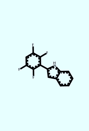 Fc1cc(F)c(F)c(-c2cc3ccccc3[nH]2)c1F